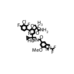 COc1cc(C(=O)NCC(O)(c2cc3c(c(-c4ccc(F)c(Cl)c4F)n2)OC[C@]3(C)C(N)=O)C2CC2)cc2cn(C(F)F)nc12